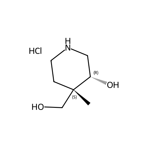 C[C@@]1(CO)CCNC[C@@H]1O.Cl